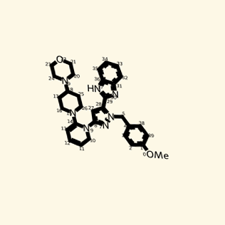 COc1ccc(Cn2nc(N3CC=CC=C3N3CCC(N4CCOCC4)CC3)cc2-c2nc3ccccc3[nH]2)cc1